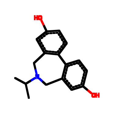 CC(C)N1Cc2cc(O)ccc2-c2ccc(O)cc2C1